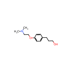 CN(C)CCOc1ccc(CCCO)cc1